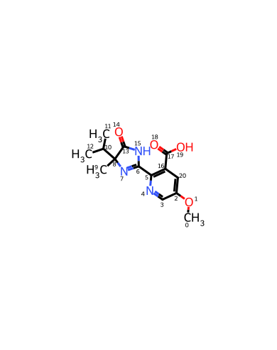 COc1cnc(C2=NC(C)(C(C)C)C(=O)N2)c(C(=O)O)c1